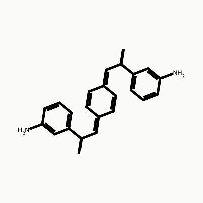 CC(C=c1ccc(=CC(C)c2cccc(N)c2)cc1)c1cccc(N)c1